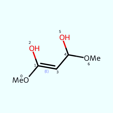 CO/C(O)=C/C(O)OC